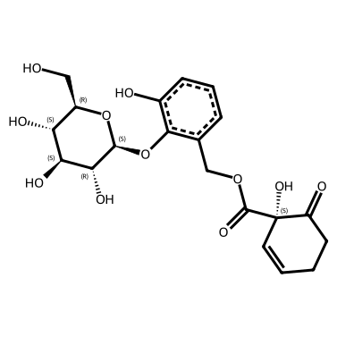 O=C1CCC=C[C@@]1(O)C(=O)OCc1cccc(O)c1O[C@@H]1O[C@H](CO)[C@@H](O)[C@H](O)[C@H]1O